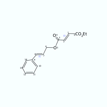 CCOC(=O)/C=C/C(=O)OC/C=C/c1ccccc1